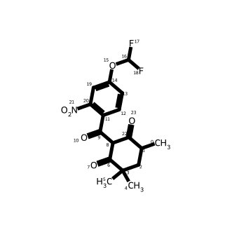 CC1CC(C)(C)C(=O)C(C(=O)c2ccc(OC(F)F)cc2[N+](=O)[O-])C1=O